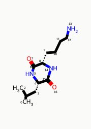 CC(C)C[C@@H]1NC(=O)[C@H](CCCCN)NC1=O